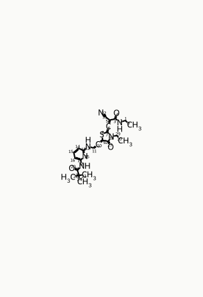 CCNC(=O)C(=C=c1sc(=C=CNc2cccc(NC(=O)C(C)(C)C)n2)c(=O)n1CC)C#N